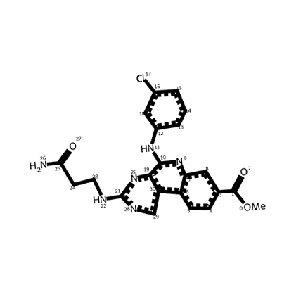 COC(=O)c1ccc2c(c1)nc(Nc1cccc(Cl)c1)c1nc(NCCC(N)=O)ncc12